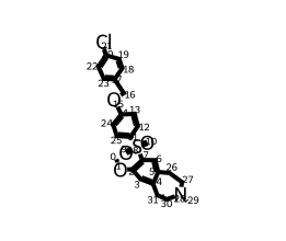 COc1cc2c(cc1S(=O)(=O)c1ccc(OCc3ccc(Cl)cc3)cc1)CCN(C)C[CH]2